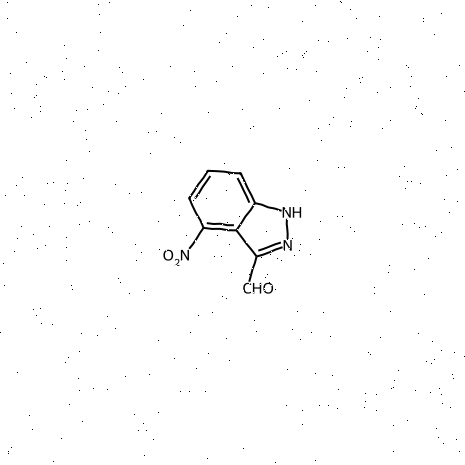 O=Cc1n[nH]c2cccc([N+](=O)[O-])c12